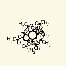 CC(=O)OC1CC2(O)C(OC(C)=O)C3C4(CO4)C(OC(C)=O)CC(OC(C)=O)C3(C)C(OC(C)=O)C(OC(C)=O)C(=C1C)C2(C)C